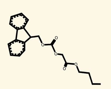 CCCCOC(=O)COC(=O)OCC1c2ccccc2-c2ccccc21